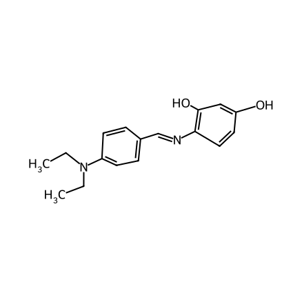 CCN(CC)c1ccc(/C=N/c2ccc(O)cc2O)cc1